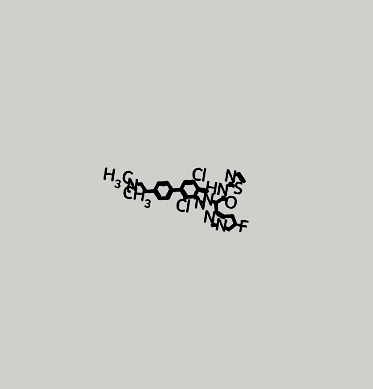 CN(C)CCc1ccc(-c2cc(Cl)c3cn(C(C(=O)Nc4nccs4)c4ncn5c4C[C@@H](F)C5)nc3c2Cl)cc1